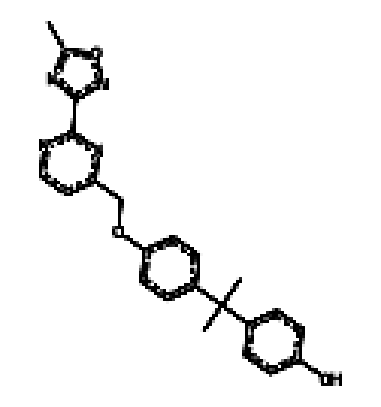 Cc1nc(-c2nccc(COc3ccc(C(C)(C)c4ccc(O)cc4)cc3)n2)no1